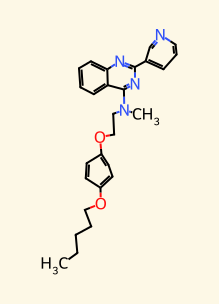 CCCCCOc1ccc(OCCN(C)c2nc(-c3cccnc3)nc3ccccc23)cc1